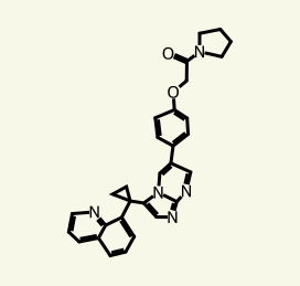 O=C(COc1ccc(-c2cnc3ncc(C4(c5cccc6cccnc56)CC4)n3c2)cc1)N1CCCC1